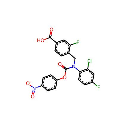 O=C(O)c1ccc(CN(C(=O)Oc2ccc([N+](=O)[O-])cc2)c2ccc(F)cc2Cl)c(F)c1